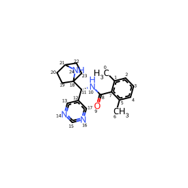 Cc1cccc(C)c1C(=O)N[C@H](c1cncnc1)C12CCC(CC1)N2